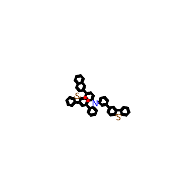 c1cc(-c2ccc3sc4ccccc4c3c2)cc(N(c2ccc(-c3ccc4ccccc4c3)cc2)c2ccccc2-c2ccc3sc4ccccc4c3c2)c1